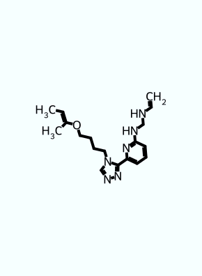 C=CNCNc1cccc(-c2nncn2CCCCO/C(C)=C/C)n1